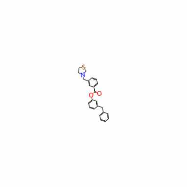 O=C(Oc1cccc(Cc2ccccc2)c1)c1cccc(CN2CCSC2)c1